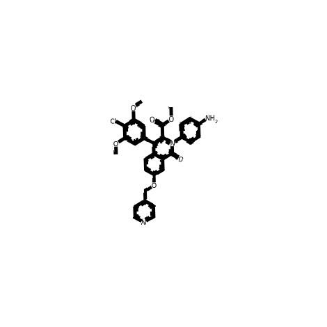 COC(=O)c1c(-c2cc(OC)c(Cl)c(OC)c2)c2ccc(OCc3ccncc3)cc2c(=O)n1-c1ccc(N)cc1